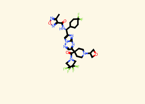 Cc1nonc1C(=O)N[C@H](c1cn2ncc(C3(C(=O)N4CC(F)(F)C(F)(F)C4)CCN(C4COC4)CC3)nc2n1)C1CCC(F)(F)CC1